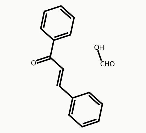 O=C(C=Cc1ccccc1)c1ccccc1.O=CO